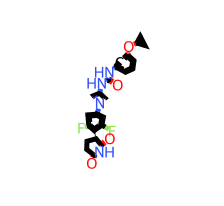 O=C1CC[C@H](c2c(F)cc(N3CC(NC(=O)Nc4cccc(OC5CC5)c4)C3)cc2F)C(=O)N1